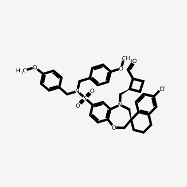 COc1ccc(CN(Cc2ccc(OC)cc2)S(=O)(=O)c2ccc3c(c2)N(C[C@@H]2CCC2C=O)C[C@@]2(CCCc4cc(Cl)ccc42)CO3)cc1